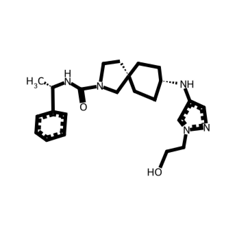 C[C@H](NC(=O)N1CC[C@]2(CC[C@@H](Nc3cnn(CCO)c3)CC2)C1)c1ccccc1